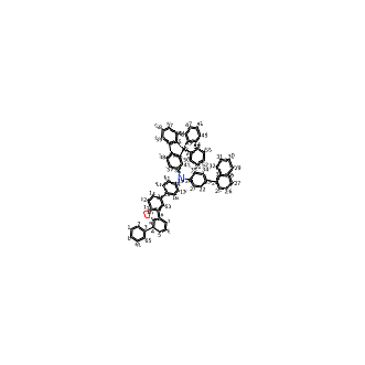 c1ccc(-c2cccc3c2oc2ccc(-c4ccc(N(c5ccc(-c6cccc7ccccc67)cc5)c5ccc6c(c5)C(c5ccccc5)(c5ccccc5)c5ccccc5-6)cc4)cc23)cc1